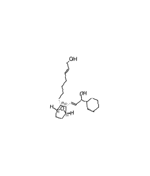 OCC=CCCCC[C@@H]1[C@H](C=CC(O)C2CCCCC2)[C@@H]2CC[C@H]1O2